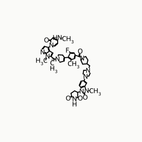 CNc1ccn(-c2ccnc3c2cc([C@H](C)N2CC=C(c4c(C)cc(C(=O)N5CCC(CN6CCN(c7ccc8c(c7)n(C)c(=O)n8C7CCC(=O)NC7=O)CC6)CC5)cc4F)CC2)n3C)c(=O)c1